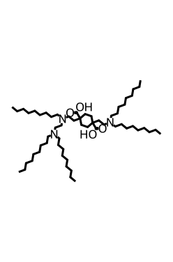 CCCCCCCCCN(CCCCCCCCC)CCN(CCCCCCCCC)CCC1(C(=O)O)CCC(CCN(CCCCCCCCC)CCCCCCCCC)(C(=O)O)CC1